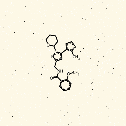 Cc1sccc1-c1cc(CNC(=O)c2ccccc2OC(F)(F)F)nn1C1CCCCO1